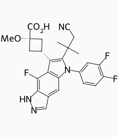 CO[C@]1(C(=O)O)C[C@H](c2c(C(C)(C)CC#N)n(-c3ccc(F)c(F)c3)c3cc4cn[nH]c4c(F)c32)C1